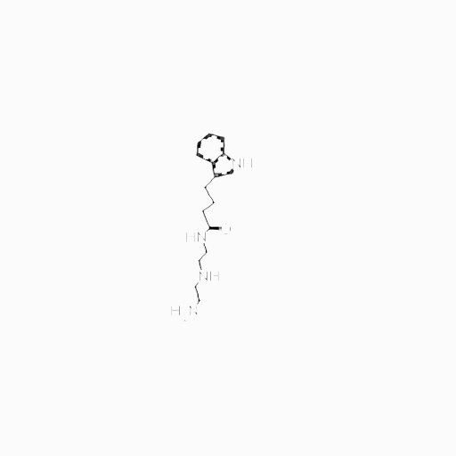 NCCNCCNC(=O)CCCc1c[nH]c2ccccc12